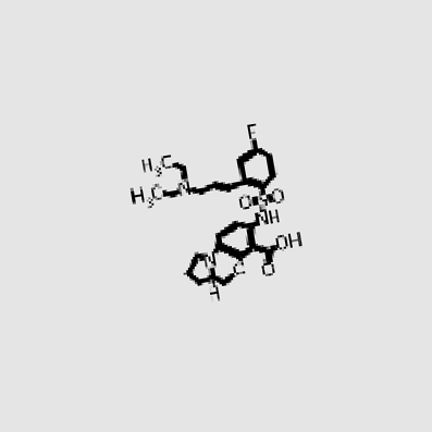 CCN(CC)CC=Cc1cc(F)ccc1S(=O)(=O)Nc1ccc2c(c1C(=O)O)OC[C@H]1CCCN21